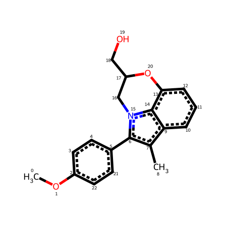 COc1ccc(-c2c(C)c3cccc4c3n2CC(CO)O4)cc1